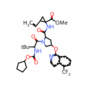 C=CC1CC1(NC(=O)C1CC(Oc2nccc3c(C(F)(F)F)cccc23)CN1C(=O)C(NC(=O)OC1CCCC1)C(C)(C)C)C(=O)OC